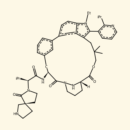 CCn1c(-c2cccnc2C(C)C)c2c3cc(ccc31)-c1cccc(c1)C[C@H](NC(=O)[C@H](C(C)C)N1CC[C@]3(CCNC3)C1=O)C(=O)N1CCC[C@H](N1)C(=O)OCC(C)(C)C2